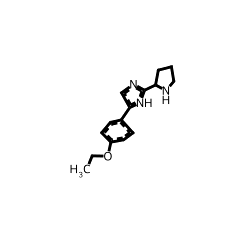 CCOc1ccc(-c2cnc(C3CCCN3)[nH]2)cc1